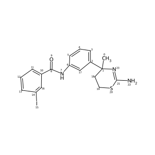 CC1(c2cccc(NC(=O)c3cccc(I)c3)c2)CCSC(N)=N1